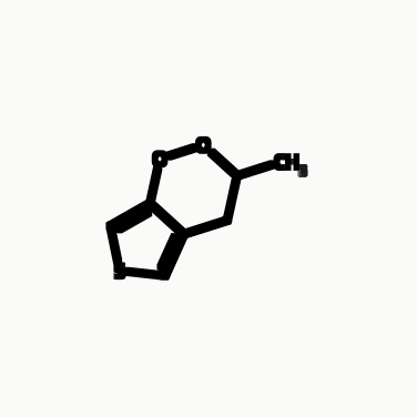 CC1Cc2cscc2OO1